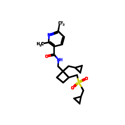 Cc1nc(C(F)(F)F)ccc1C(=O)NCC1(CC2CC2)CCC1CS(=O)(=O)CC1CC1